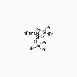 CCCCC[SiH](O[Si](C(C)C)(C(C)C)C(C)C)O[Si](C(C)C)(C(C)C)C(C)C